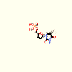 O=c1[nH]c(=O)n([C@H]2CC[C@@H](COP(=O)(O)O)O2)cc1C(F)(F)F